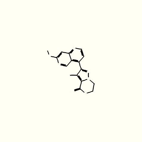 COc1cc2nccc(-c3nn4c(c3Cl)C(=O)NCC4)c2cn1